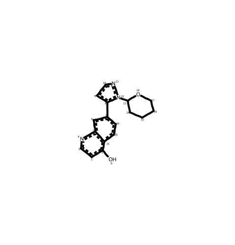 Oc1ccnc2cc(-c3ccnn3C3CCCCO3)ccc12